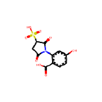 O=C(O)c1ccc(O)cc1N1C(=O)CC(S(=O)(=O)O)C1=O